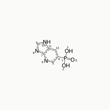 O=P(O)(O)c1cnc2nc[nH]c2c1